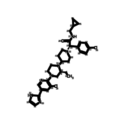 CC[C@H]1CN(c2ncc(-c3ncc[nH]3)cc2Cl)CCN1C1CCN([C@H](C(=O)NCC2CC2)c2ccc(Cl)cc2)CC1